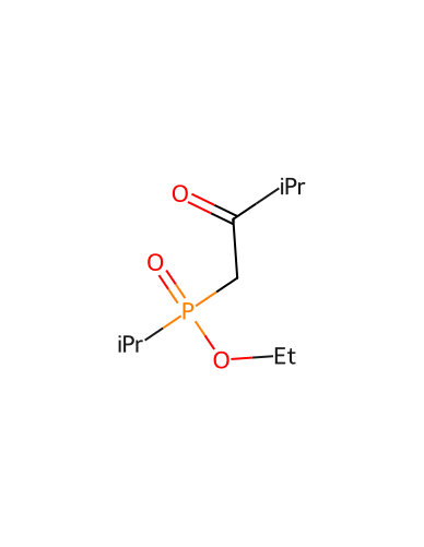 CCOP(=O)(CC(=O)C(C)C)C(C)C